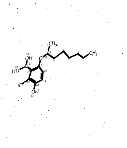 CCCCCC[C@H](C)Oc1ccc(O)c(F)c1B(O)O